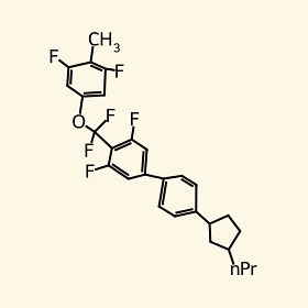 CCCC1CCC(c2ccc(-c3cc(F)c(C(F)(F)Oc4cc(F)c(C)c(F)c4)c(F)c3)cc2)C1